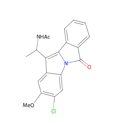 COc1cc2c(C(C)NC(C)=O)c3n(c2cc1Cl)C(=O)c1ccccc1-3